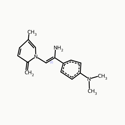 C=C1C=CC(C)=CN1/C=C(\N)c1ccc(N(C)C)cc1